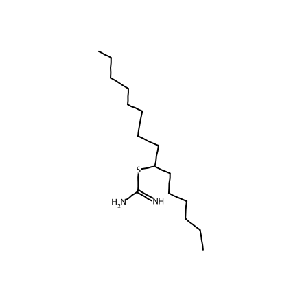 CCCCCCCCC(CCCCCC)SC(=N)N